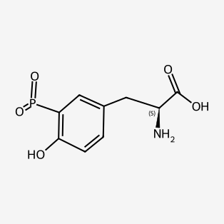 N[C@@H](Cc1ccc(O)c(P(=O)=O)c1)C(=O)O